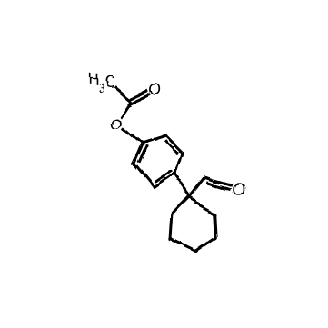 CC(=O)Oc1ccc(C2(C=O)CCCCC2)cc1